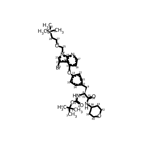 CC(C)(C)OC(=O)N[C@@H](Cc1ccc(Oc2ccnc3c2c(Br)cn3COCC[Si](C)(C)C)cc1)C(=O)NC1CCOCC1